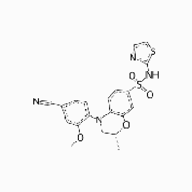 COc1cc(C#N)ccc1N1C[C@@H](C)Oc2cc(S(=O)(=O)Nc3nccs3)ccc21